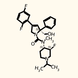 CC(C)N1CC[C@H](N(C)C(=O)N2CC(c3cc(F)ccc3F)=C[C@@]2(CO)c2ccccc2)[C@@H](F)C1